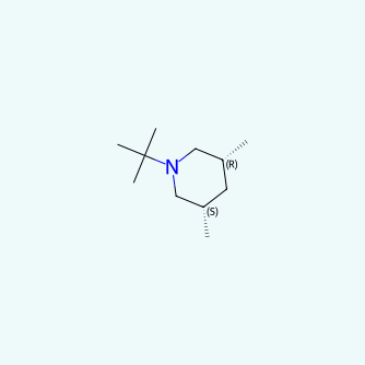 C[C@@H]1C[C@H](C)CN(C(C)(C)C)C1